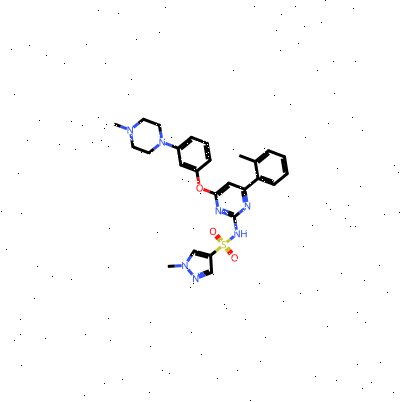 Cc1ccccc1-c1cc(Oc2cccc(N3CCN(C)CC3)c2)nc(NS(=O)(=O)c2cnn(C)c2)n1